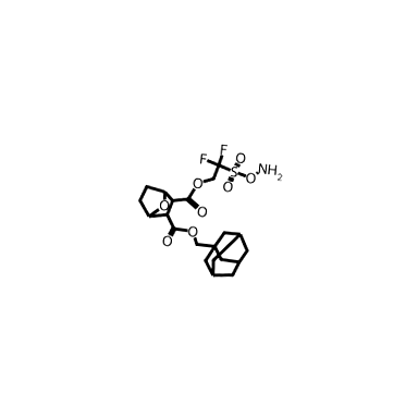 NOS(=O)(=O)C(F)(F)COC(=O)C1C2CCC(O2)C1C(=O)OCC12CC3CC(CC(C3)C1)C2